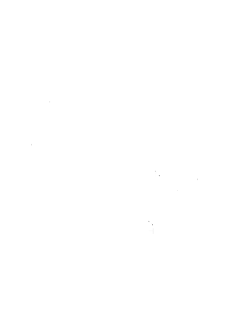 Cc1c(C2CNCC(=O)N2)ccc2c1COC2=O